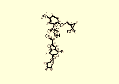 CC(C)c1ccc(OCC2CC2(F)F)c(S(=O)(=O)NC(=O)c2cc3c(F)cc(N4CCC4)cc3o2)c1